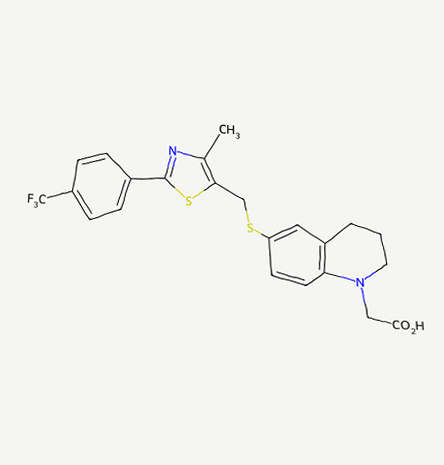 Cc1nc(-c2ccc(C(F)(F)F)cc2)sc1CSc1ccc2c(c1)CCCN2CC(=O)O